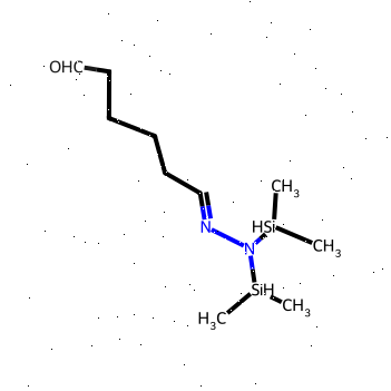 C[SiH](C)N(N=CCCCCC=O)[SiH](C)C